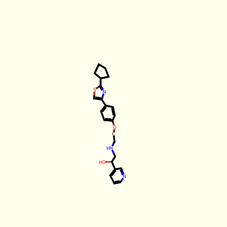 O[C@@H](CNCCOc1ccc(-c2csc(C3CCCC3)n2)cc1)c1cccnc1